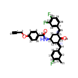 C#CCOc1ccc(C(=O)NC2C/C(=C\c3ccc(F)c(C)c3)C(=O)/C(=C/c3ccc(F)c(F)c3)C2)cc1